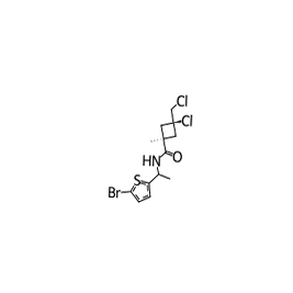 CC(NC(=O)[C@]1(C)C[C@@](Cl)(CCl)C1)c1ccc(Br)s1